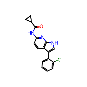 O=C(Nc1ccc2c(-c3ccccc3Cl)c[nH]c2n1)C1CC1